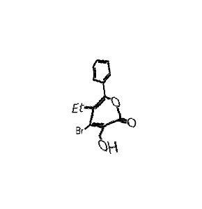 CCc1c(-c2ccccc2)oc(=O)c(O)c1Br